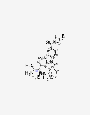 C/C(N)=C(\c1cnc2c3cc(C(=O)N4CC(F)C4)ccc3n(CC3CCOCC3)c2c1)N(C)N